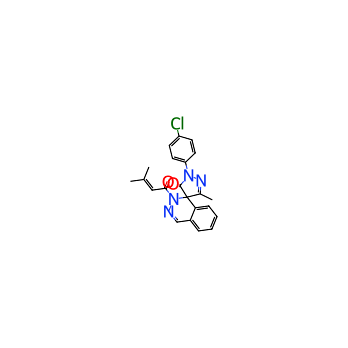 CC(C)=CC(=O)N1N=Cc2ccccc2C12C(=O)N(c1ccc(Cl)cc1)N=C2C